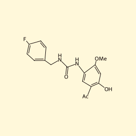 COc1cc(O)c(C(C)=O)cc1NC(=O)NCc1ccc(F)cc1